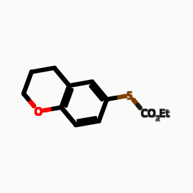 CCOC(=O)Sc1ccc2c(c1)CCCO2